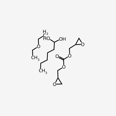 CCCCCC(O)O.CCOCC.O=C(OCC1CO1)OCC1CO1